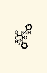 CC(=O)/C(=N/Nc1ccccc1)C(=O)Nc1ccccc1